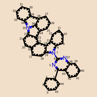 c1ccc(-c2nc(-n3c4ccccc4c4c5c(ccc43)ccc3c5c4cccc5c6ccccc6n3c54)nc3ccccc23)cc1